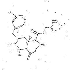 CCC(C)[C@H]1C(=O)N(Cc2cccc(Cl)c2)C[C@H]2N1C(=O)CN(CC)N2C(=O)NCc1ccccc1